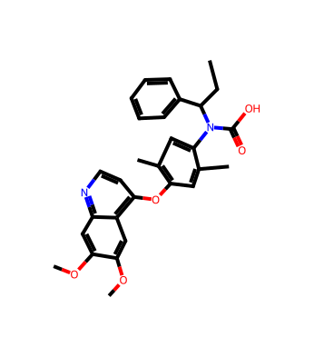 CCC(c1ccccc1)N(C(=O)O)c1cc(C)c(Oc2ccnc3cc(OC)c(OC)cc23)cc1C